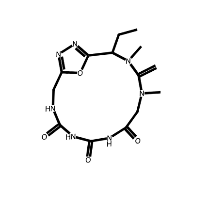 C=C1N(C)CC(=O)NC(=O)NC(=O)NCc2nnc(o2)C(CC)N1C